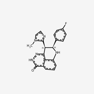 Cn1ccnc1[C@@H]1c2n[nH]c(=O)c3cccc(c23)N[C@@H]1c1ccc(F)cc1